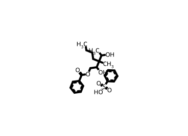 CCCCC(C)(C(C)O)C(O)COC(=O)c1ccccc1.O=S(=O)(O)c1ccccc1